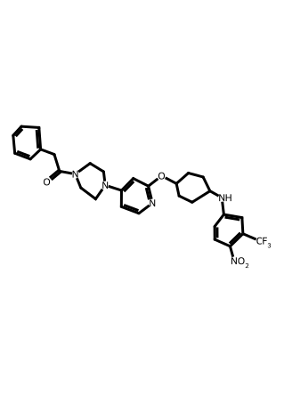 O=C(Cc1ccccc1)N1CCN(c2ccnc(OC3CCC(Nc4ccc([N+](=O)[O-])c(C(F)(F)F)c4)CC3)c2)CC1